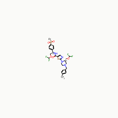 CCS(=O)(=O)c1ccc([C@H](COC(F)F)NC(=O)c2cnc(N3CCN(Cc4ccc(C(F)(F)F)cc4)C[C@H]3COC(F)F)s2)cc1